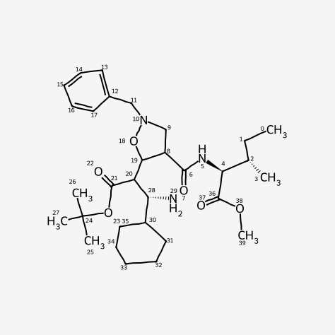 CC[C@H](C)[C@H](NC(=O)C1CN(Cc2ccccc2)OC1C(C(=O)OC(C)(C)C)[C@H](N)C1CCCCC1)C(=O)OC